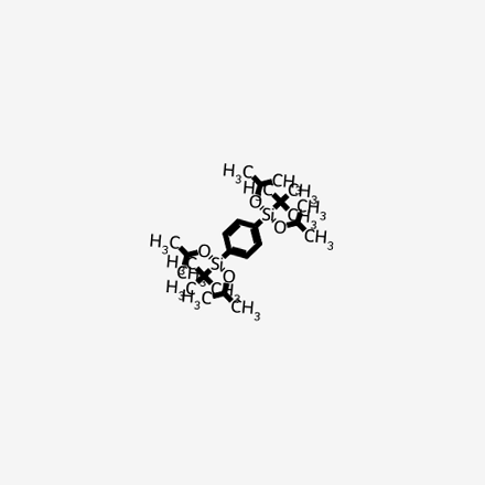 CC(C)O[Si](OC(C)C)(c1ccc([Si](OC(C)C)(OC(C)C)C(C)(C)C)cc1)C(C)(C)C